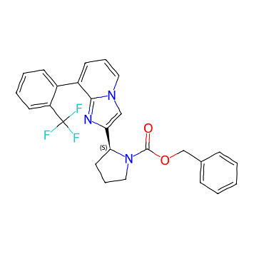 O=C(OCc1ccccc1)N1CCC[C@H]1c1cn2cccc(-c3ccccc3C(F)(F)F)c2n1